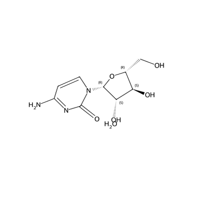 Nc1ccn([C@@H]2O[C@H](CO)[C@@H](O)[C@@H]2O)c(=O)n1.O